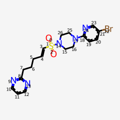 O=S(=O)(C=CCCCc1ncccn1)N1CCN(c2ccc(Br)cn2)CC1